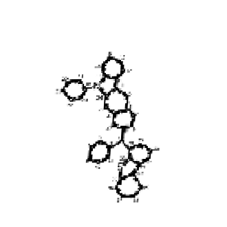 c1ccc(C(c2ccc3cc4c5ccccc5n(-c5ccccc5)c4cc3c2)c2cccc3c2sc2ccccc23)cc1